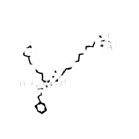 CO[Si](C)(C)CCCOCCOCCC[Si](C)(C)O[Si](C)(CCCOCC1COC(=O)O1)O[Si](C)(CCc1ccccc1)OC